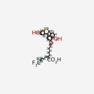 CC1(c2ccc(O)cc2)CSc2cc(O)ccc2C1c1ccc(OCCCCCCC(CCCC(F)(F)C(F)(F)F)C(=O)O)cc1